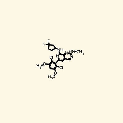 CNc1ncc2cc(-c3c(Cl)c(OC)cc(OC)c3Cl)nc(NC3CCC(F)(F)C3)c2n1